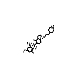 Cc1cc(F)cc2[nH]c(C3=CC=C4C(CCN4CCCC4CCN(C)CC4)C3C)nc12